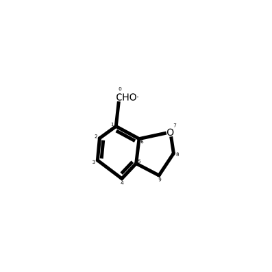 O=[C]c1cccc2c1OCC2